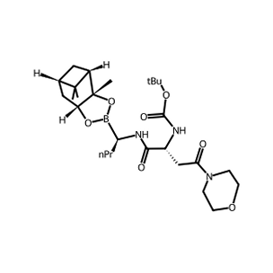 CCC[C@H](NC(=O)[C@@H](CC(=O)N1CCOCC1)NC(=O)OC(C)(C)C)B1O[C@@H]2C[C@@H]3C[C@@H](C3(C)C)[C@]2(C)O1